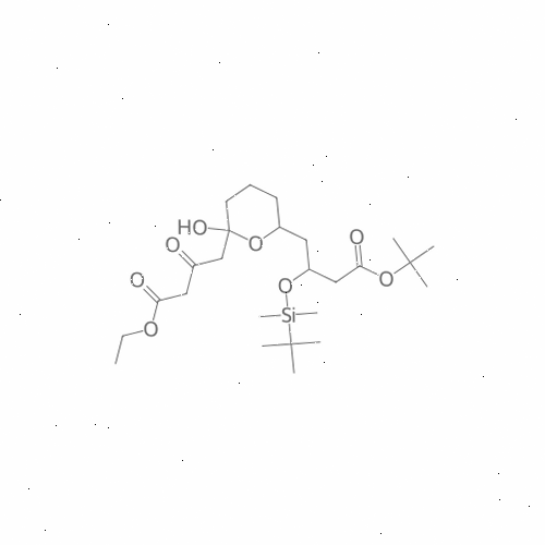 CCOC(=O)CC(=O)CC1(O)CCCC(CC(CC(=O)OC(C)(C)C)O[Si](C)(C)C(C)(C)C)O1